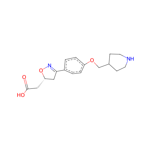 O=C(O)C[C@H]1CC(c2ccc(OCC3CCNCC3)cc2)=NO1